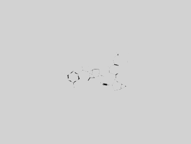 C[C@H](c1cc(F)cc(F)c1)N1C(=O)[C@@H]2CC1CN2C[C@H](NC(=O)OC(C)(C)C)C(=O)N1[C@H](C#N)C[C@@H]2C[C@@H]21